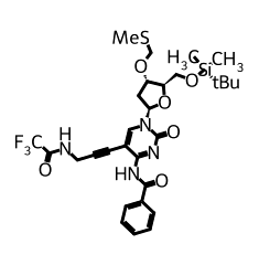 CSCO[C@H]1C[C@H](n2cc(C#CCNC(=O)C(F)(F)F)c(NC(=O)c3ccccc3)nc2=O)O[C@@H]1CO[Si](C)(C)C(C)(C)C